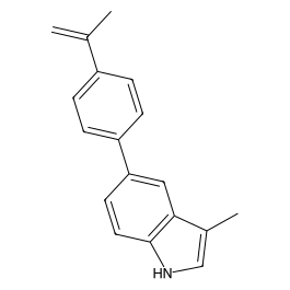 C=C(C)c1ccc(-c2ccc3[nH]cc(C)c3c2)cc1